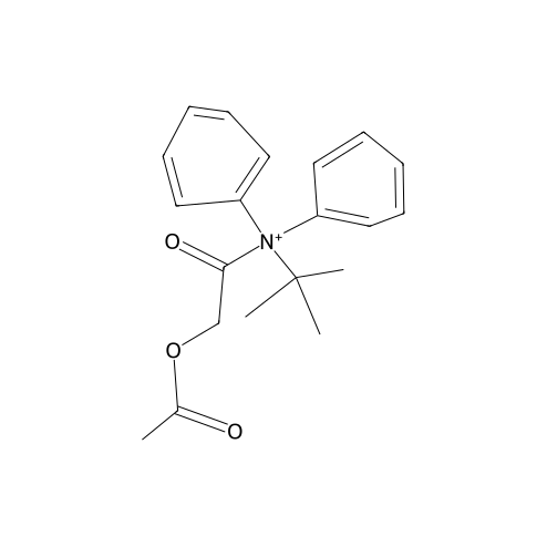 CC(=O)OCC(=O)[N+](c1ccccc1)(c1ccccc1)C(C)(C)C